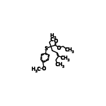 CCOC(=O)C(CC)(CC=C(C)CC)Sc1ccc(OC)cc1